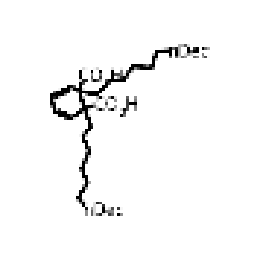 CCCCCCCCCCCCCCCCC1(C(=O)O)C=CC=CC1(CCCCCCCCCCCCCCCC)C(=O)O